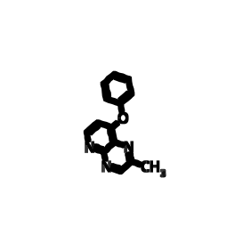 Cc1cnc2nccc(Oc3ccccc3)c2n1